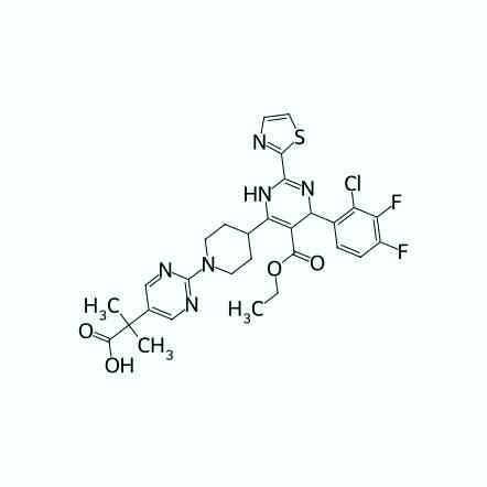 CCOC(=O)C1=C(C2CCN(c3ncc(C(C)(C)C(=O)O)cn3)CC2)NC(c2nccs2)=NC1c1ccc(F)c(F)c1Cl